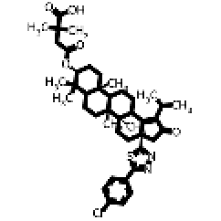 CC(C)C1=C2C3CCC4[C@@]5(C)CC[C@H](OC(=O)CC(C)(C)C(=O)O)C(C)(C)C5CC[C@@]4(C)[C@]3(C)CC[C@@]2(c2nnc(-c3ccc(Cl)cc3)s2)CC1=O